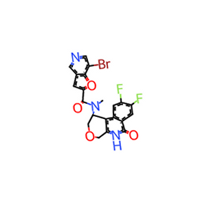 CN(C(=O)c1cc2cncc(Br)c2o1)[C@@H]1COCc2[nH]c(=O)c3cc(F)c(F)cc3c21